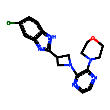 Clc1ccc2[nH]c(C3CN(c4nccnc4N4CCOCC4)C3)nc2c1